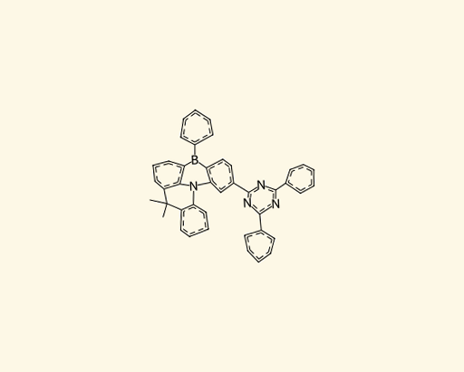 CC1(C)c2ccccc2N2c3cc(-c4nc(-c5ccccc5)nc(-c5ccccc5)n4)ccc3B(c3ccccc3)c3cccc1c32